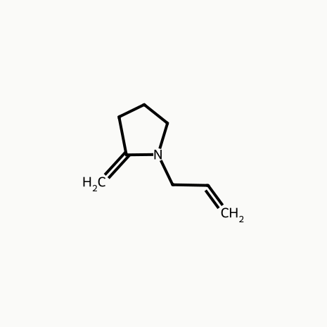 C=CCN1CCCC1=C